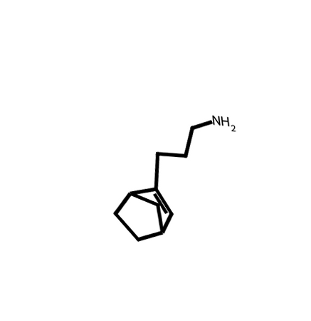 NCCCC1=CC2CCC1C2